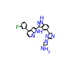 NC1CN(c2cncc(-c3ccc4[nH]nc(-c5cc6c(-c7cccc(F)c7)ccnc6[nH]5)c4c3)n2)C1